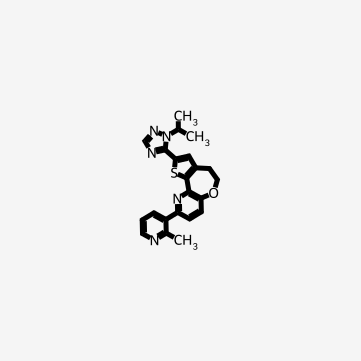 Cc1ncccc1-c1ccc2c(n1)-c1sc(-c3ncnn3C(C)C)cc1CCO2